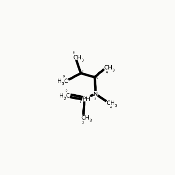 C=[PH](C)N(C)C(C)C(C)C